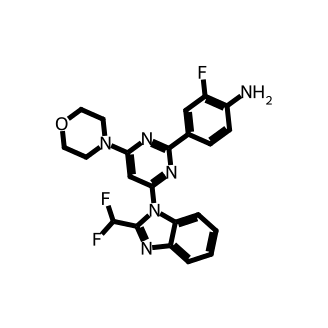 Nc1ccc(-c2nc(N3CCOCC3)cc(-n3c(C(F)F)nc4ccccc43)n2)cc1F